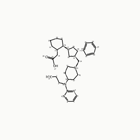 CCCN(c1ncccn1)C1CCN(C[C@H]2CN([C@@H]3CCCCC3CC(=O)O)C[C@@H]2c2ccccc2)CC1